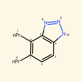 CCCc1ccc2c(c1CCC)N=N[N]2